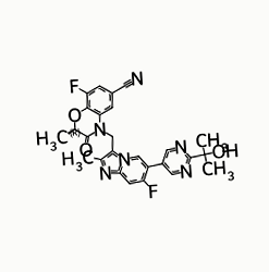 Cc1nc2cc(F)c(-c3cnc(C(C)(C)O)nc3)cn2c1CN1C(=O)[C@@H](C)Oc2c(F)cc(C#N)cc21